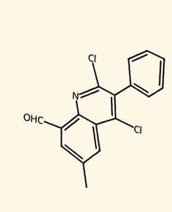 Cc1cc(C=O)c2nc(Cl)c(-c3ccccc3)c(Cl)c2c1